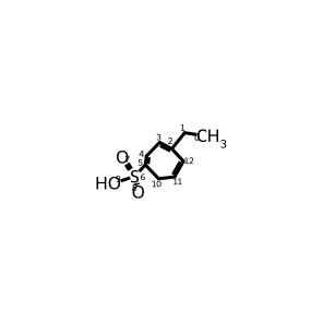 CCC1=CC=C(S(=O)(=O)O)CC=C1